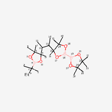 CCC(C)(C)B1OC(C)(C)C(C)(C(C)C(C)C2(C)OB(B3OC(C)(C)C(C)(C)O3)OC2(C)C)O1